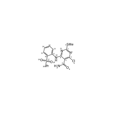 CSc1nc(Cl)c(C(N)=O)c(Nc2ccccc2S(=O)(=O)C(C)C)n1